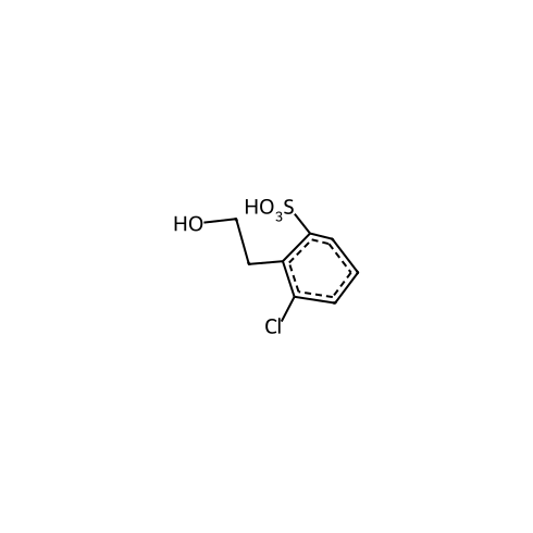 O=S(=O)(O)c1cccc(Cl)c1CCO